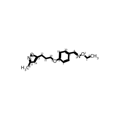 CCON=Cc1ccc(OCCCc2cc(C)no2)cc1